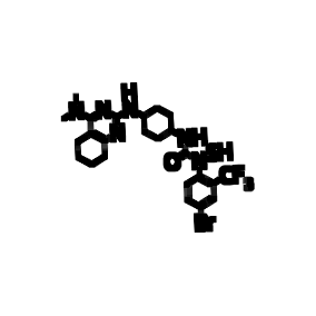 CN(C)c1nc(NC2CCC(NC(=O)N(S)c3ccc(Br)cc3C(F)(F)F)CC2)nc2c1CCCC2